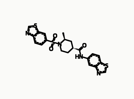 C[C@H]1C[C@H](C(=O)Nc2ccc3scnc3c2)CCN1S(=O)(=O)c1ccc2ncsc2c1